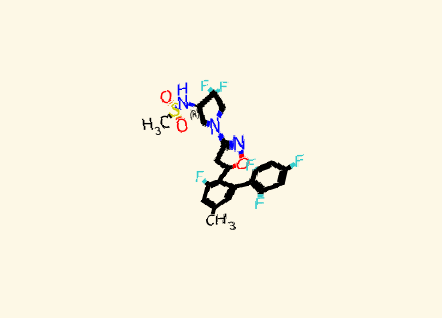 Cc1cc(F)c(C2CC(N3C[C@@H](NS(C)(=O)=O)C(F)(F)C3)=NO2)c(-c2c(F)cc(F)cc2F)c1